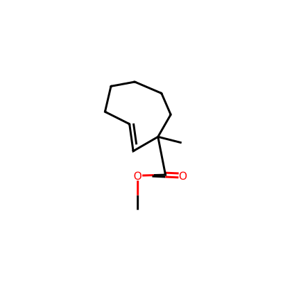 COC(=O)C1(C)/C=C/CCCCC1